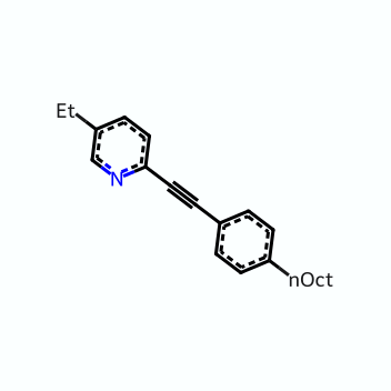 CCCCCCCCc1ccc(C#Cc2ccc(CC)cn2)cc1